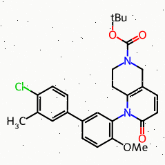 COc1ccc(-c2ccc(Cl)c(C)c2)cc1-n1c2c(ccc1=O)CN(C(=O)OC(C)(C)C)CC2